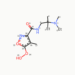 CCN(C)C(C)(CC)CNC(=O)c1noc(OO)c1C